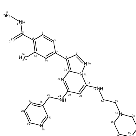 CCCNC(=O)c1ccc(-c2cnn3c(NCCN4CCNCC4)cc(NCc4cccnc4)nc23)cc1C